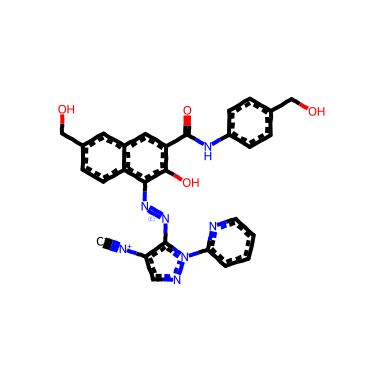 [C-]#[N+]c1cnn(-c2ccccn2)c1/N=N/c1c(O)c(C(=O)Nc2ccc(CO)cc2)cc2cc(CO)ccc12